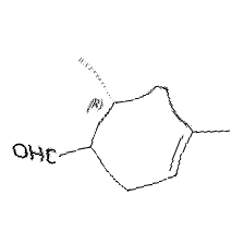 CC1=CCC(C=O)[C@H](C)C1